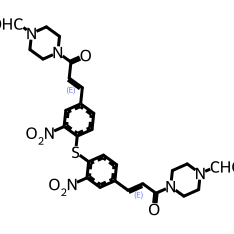 O=CN1CCN(C(=O)/C=C/c2ccc(Sc3ccc(/C=C/C(=O)N4CCN(C=O)CC4)cc3[N+](=O)[O-])c([N+](=O)[O-])c2)CC1